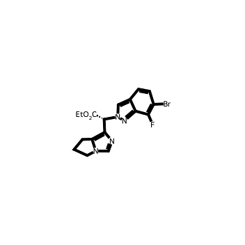 CCOC(=O)[C@@H](c1ncn2c1CCC2)n1cc2ccc(Br)c(F)c2n1